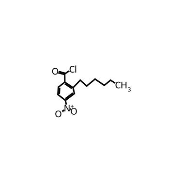 CCCCCCc1cc([N+](=O)[O-])ccc1C(=O)Cl